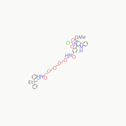 CCC(CCCNC(=O)CCOCCOCCOCCOCCNC(=O)c1ccc([C@@H]2c3[nH]c4ccccc4c3C[C@H](C(=O)OC)N2C(=O)CCl)cc1)(c1ccccc1)c1ccccc1